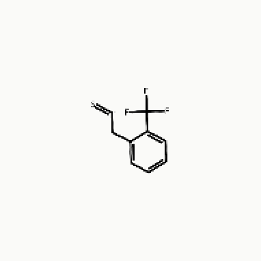 FC(F)(F)c1ccccc1C[C]=S